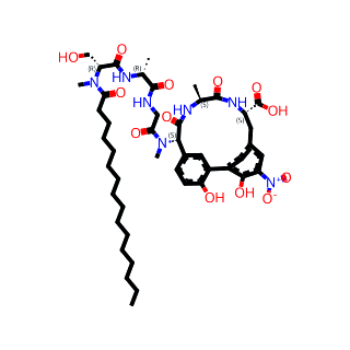 CCCCCCCCCCCCCCCC(=O)N(C)[C@H](CO)C(=O)N[C@H](C)C(=O)NCC(=O)N(C)[C@@H]1C(=O)N[C@@H](C)C(=O)N[C@H](C(=O)O)Cc2cc(c(O)c([N+](=O)[O-])c2)-c2cc1ccc2O